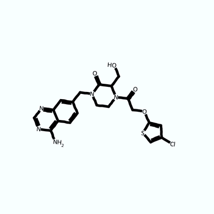 Nc1ncnc2cc(CN3CCN(C(=O)COc4cc(Cl)cs4)C(CO)C3=O)ccc12